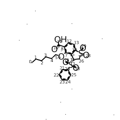 CCCCCCOc1c(C(=O)O)ccc2c1C(S(=O)(=O)c1ccccc1)CS2(=O)=O